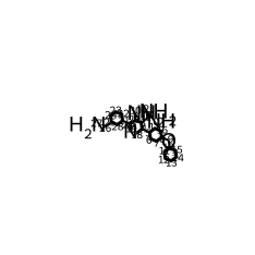 N=C(N)c1c(-c2ccc(Oc3ccccc3)cc2)cnc(-c2cccc(CN)c2)c1N